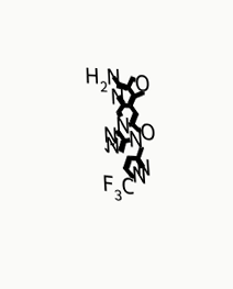 Cn1cc(N(Cc2ccc(C(F)(F)F)nn2)C(=O)c2cc3c4c(c(N)nc3cn2)COC4)cn1